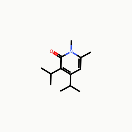 Cc1cc(C(C)C)c(C(C)C)c(=O)n1C